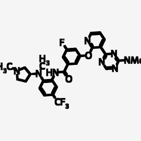 CNc1ncnc(-c2cccnc2Oc2cc(F)cc(C(=O)Nc3cc(C(F)(F)F)ccc3N(C)[C@H]3CCN(C)C3)c2)n1